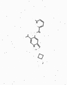 O=C(Nc1cc2cn([C@H]3C[C@H](CO)C3)nc2cc1C(F)F)c1cccc(C(F)(F)F)n1